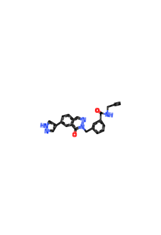 C#CCNC(=O)c1cccc(Cn2ncc3ccc(-c4cn[nH]c4)cc3c2=O)c1